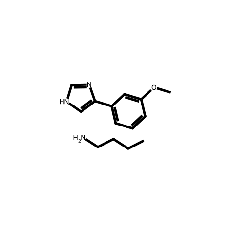 CCCCN.COc1cccc(-c2c[nH]cn2)c1